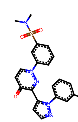 CN(C)S(=O)(=O)c1cccc(-n2ccc(=O)c(-c3ccnn3-c3cccc(C#N)c3)n2)c1